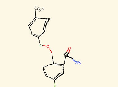 NC(=O)c1cc(F)ccc1OCc1ccc(C(=O)O)cc1